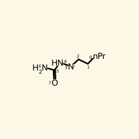 CCCCC[N]NC(N)=O